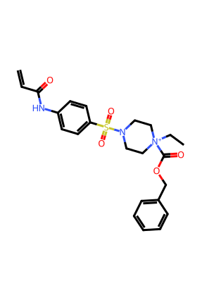 C=CC(=O)Nc1ccc(S(=O)(=O)N2CC[N+](CC)(C(=O)OCc3ccccc3)CC2)cc1